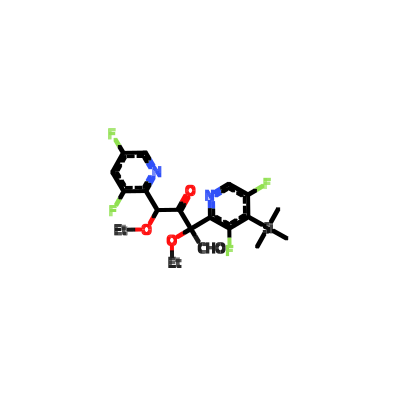 CCOC(C(=O)C(C=O)(OCC)c1ncc(F)c([Si](C)(C)C)c1F)c1ncc(F)cc1F